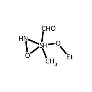 CCO[SH]1(C)(C=O)NO1